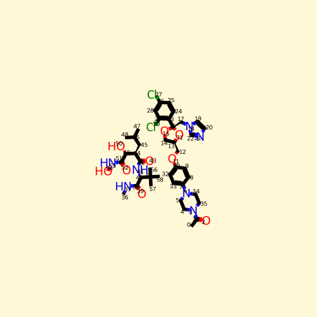 CC(=O)N1CCN(c2ccc(OC[C@H]3CO[C@](Cn4ccnc4)(c4ccc(Cl)cc4Cl)O3)cc2)CC1.CNC(=O)[C@@H](NC(=O)[C@H](CC(C)C)[C@H](O)C(=O)NO)C(C)(C)C